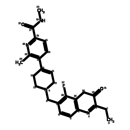 CCC1=Nc2ccc(CN3CC=C(c4ccc(C(=O)NC)nc4C)CC3)c(F)c2CC1=O